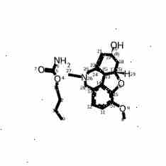 CCCCOC(N)=O.COc1ccc2c3c1O[C@H]1C[C@@H](O)C=C[C@@]31CCN(C)C2